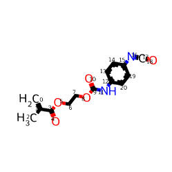 C=C(C)C(=O)OCCOC(=O)Nc1ccc(N=C=O)cc1